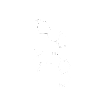 COCc1ccc(NC(=O)N(C)CC2CCNCC2)nc1.O=C(O)C(F)(F)F